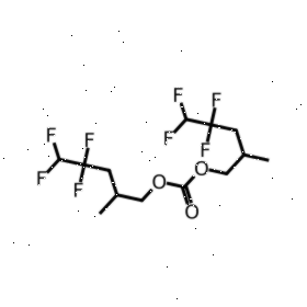 CC(COC(=O)OCC(C)CC(F)(F)C(F)F)CC(F)(F)C(F)F